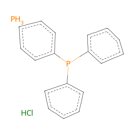 Cl.P.c1ccc(P(c2ccccc2)c2ccccc2)cc1